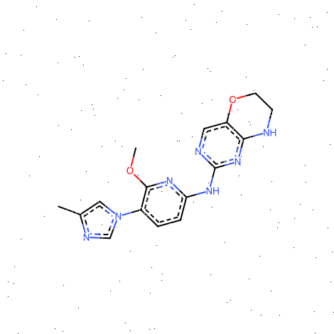 COc1nc(Nc2ncc3c(n2)NCCO3)ccc1-n1cnc(C)c1